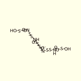 O=C(NCCSCSCC/N=C\[S+]([O-])CSCSCSC(=O)NCCSCSCC/N=C\OOCCSCCO)OCCSCCO